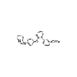 COc1cccc(-c2cccnc2Oc2ccc(Nc3ccccn3)cc2)c1